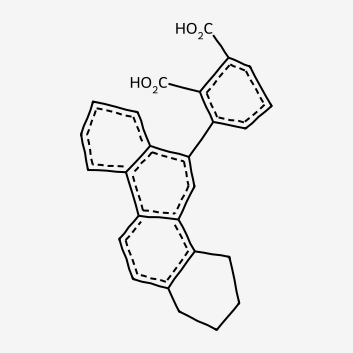 O=C(O)c1cccc(-c2cc3c4c(ccc3c3ccccc23)CCCC4)c1C(=O)O